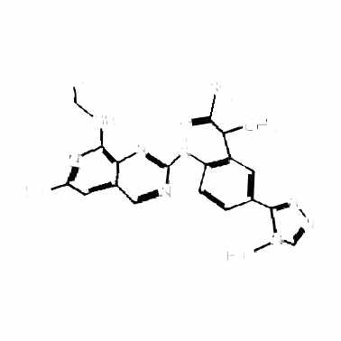 Cc1cc2cnc(Nc3ccc(-c4nncn4C)cc3C(C)C(N)=O)nc2c(NCC(C)(C)C)n1